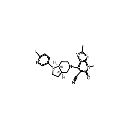 Cc1nc2c(N3CC[C@H]4[C@H](CCN4c4ccc(I)nc4)C3)c(C#N)c(=O)n(C)c2s1